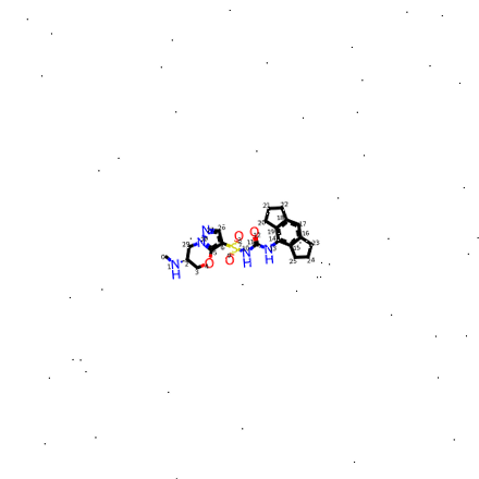 CN[C@H]1COc2c(S(=O)(=O)NC(=O)Nc3c4c(cc5c3CCC5)CCC4)cnn2C1